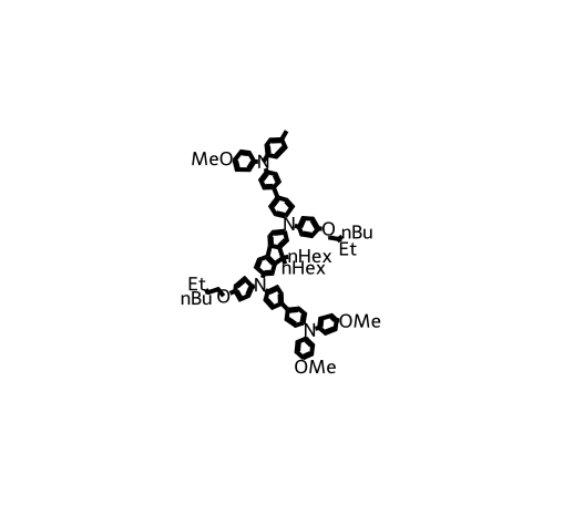 CCCCCCC1(CCCCCC)c2cc(N(c3ccc(OCC(CC)CCCC)cc3)c3ccc(-c4ccc(N(c5ccc(C)cc5)c5ccc(OC)cc5)cc4)cc3)ccc2-c2ccc(N(c3ccc(OCC(CC)CCCC)cc3)c3ccc(-c4ccc(N(c5ccc(OC)cc5)c5ccc(OC)cc5)cc4)cc3)cc21